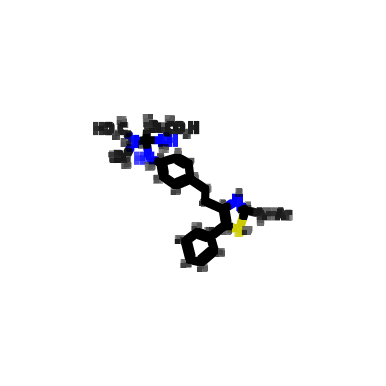 CC(=O)Nc1nc(CCc2ccc(NC(NC(=O)O)(N(C(=O)O)C(C)(C)C)C(C)(C)C)cc2)c(-c2ccccc2)s1